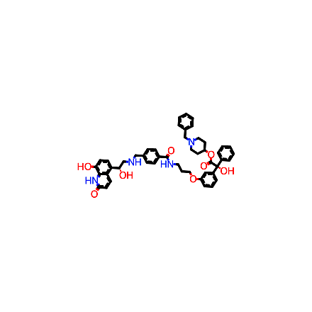 O=C(NCCCOc1cccc([C@](O)(C(=O)OC2CCN(Cc3ccccc3)CC2)c2ccccc2)c1)c1ccc(CNC[C@H](O)c2ccc(O)c3[nH]c(=O)ccc23)cc1